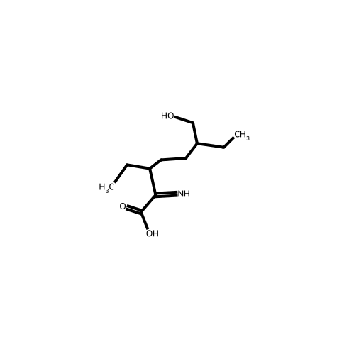 CCC(CO)CCC(CC)C(=N)C(=O)O